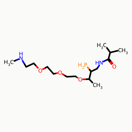 CNCCOCCOCCOC(C)C(P)CNC(=O)C(C)C